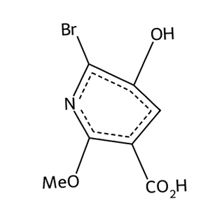 COc1nc(Br)c(O)cc1C(=O)O